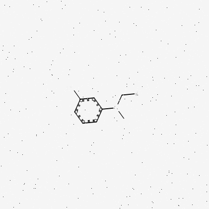 CC(C)CN(C)c1cccc(C(C)C)c1